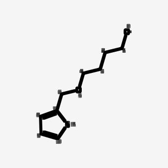 [O]CCCCOCc1cccs1